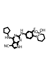 N#Cc1c[nH]c2nc(Nc3ccc(N4CCCCS4(O)O)c(F)c3)nc(NC3CCCC3)c12